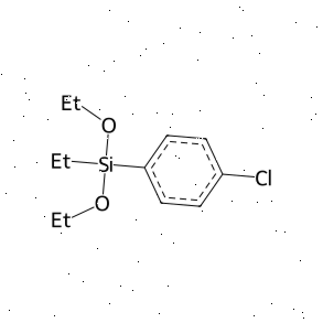 CCO[Si](CC)(OCC)c1ccc(Cl)cc1